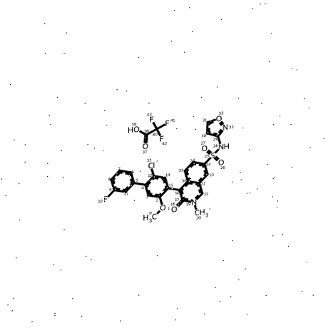 COc1cc(-c2cccc(F)c2)c(Cl)cc1-c1c(=O)n(C)cc2cc(S(=O)(=O)Nc3ccon3)ccc12.O=C(O)C(F)(F)F